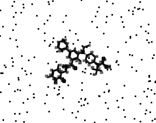 CCN(c1cc(-c2cnccn2)cc(C(=O)NCc2c(C)cc(C)[nH]c2=O)c1C)[C@H]1CC[C@H](N(C(=O)O)C(C)(C)C)CC1